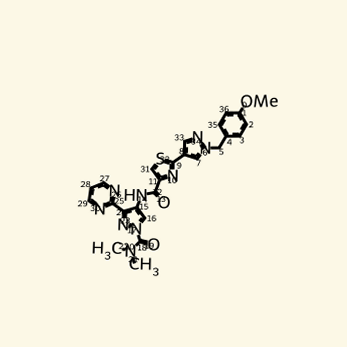 COc1ccc(Cn2cc(-c3nc(C(=O)Nc4cn(C(=O)N(C)C)nc4-c4ncccn4)cs3)cn2)cc1